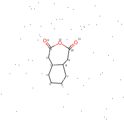 O=C1CC2CCCCC2CC(=O)O1